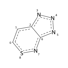 c1cc2nnnc-2ns1